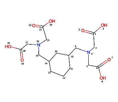 O=C(O)CN(CC(=O)O)CC1CCCC(CN(CC(=O)O)CC(=O)O)C1